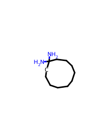 NC1(N)CCCCCCCCCC1